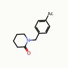 CC(=O)c1ccc(CN2CCCCC2=O)cc1